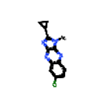 CC(=O)n1c(C2CC2)nc2nc3cc(Cl)ccc3nc21